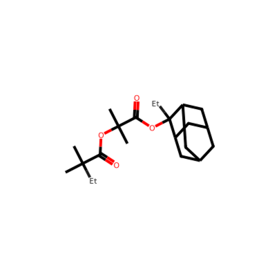 CCC(C)(C)C(=O)OC(C)(C)C(=O)OC1(CC)C2CC3CC(C2)CC1C3